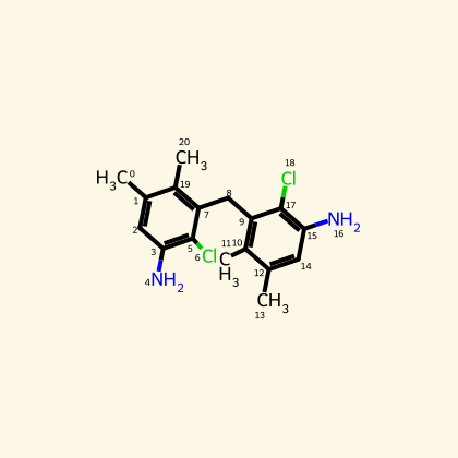 Cc1cc(N)c(Cl)c(Cc2c(C)c(C)cc(N)c2Cl)c1C